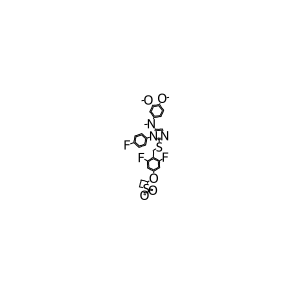 COc1ccc(N(C)c2cnc(SCc3c(F)cc(OC4CCS4(=O)=O)cc3F)n2-c2ccc(F)cc2)cc1OC